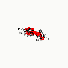 CC(C)[C@H](NC(=O)[C@@H](NC(=O)[C@H](CC(=O)O)NC(=O)[C@H](CCC(=O)O)NC(=O)[C@@H]1CCCN1)[C@@H](C)O)C(=O)N[C@H](C(=O)N[C@@H](Cc1ccc(O)cc1)C(=O)N[C@@H](Cc1ccc(O)cc1)C(=O)N[C@@H](CS)C(=O)N[C@@H](C)C(=O)N[C@@H](C)C(=O)N[C@@H](CCC(N)=O)C(=O)N1CCC[C@H]1C(=O)O)[C@@H](C)O